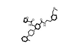 Cc1ccccc1N1CCN(c2ccc(C(=O)NCCc3cccc(CN(C)C)c3)cc2NC(=O)c2ccco2)CC1